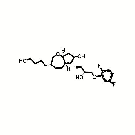 OCCCC[C@H]1CC[C@@H]2[C@@H](/C=C/[C@@H](O)COc3cc(F)ccc3F)[C@H](O)C[C@@H]2OC1